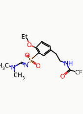 CCOc1ccc(CCNC(=O)C(F)(F)F)cc1S(=O)(=O)/N=C/N(C)C